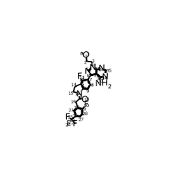 COCCn1nc(-c2ccc3c(c2F)CCN3C(=O)Cc2cc(C(F)(F)F)ccc2F)c2c(N)ncnc21